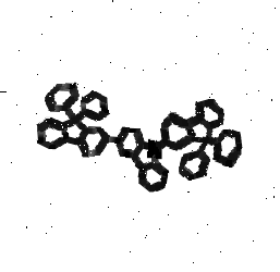 c1ccc(C2(c3ccccc3)c3ccccc3-c3ccc(-c4ccc5c(c4)c4ccccc4n5-c4ccc5c(c4)C(c4ccccc4)(c4ccccc4)c4ccccc4-5)cc32)cc1